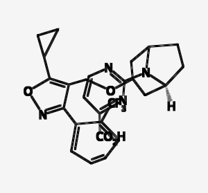 O=C(O)c1ccnc(N2C3CC[C@H]2CC(OCc2c(-c4ccccc4C(F)(F)F)noc2C2CC2)C3)n1